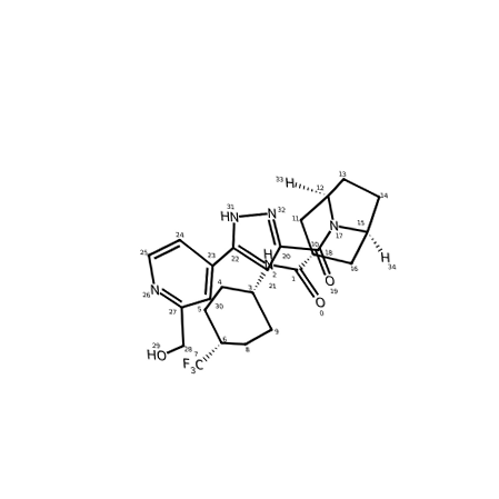 O=C(N[C@H]1CC[C@@H](C(F)(F)F)CC1)[C@@H]1C[C@H]2CC[C@@H](C1)N2C(=O)c1cc(-c2ccnc(CO)c2)[nH]n1